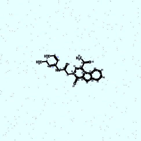 C/C=C\C(=N/CC)NC(=O)Cn1nc(C(C)=O)n2c(cc3ccccc32)c1=O